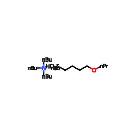 CCCC[N+](CCCC)(CCCC)CCCC.CCCOCCCCS(=O)(=O)O